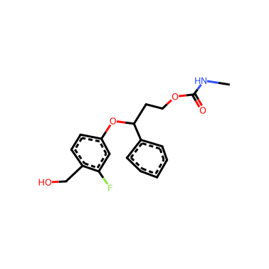 CNC(=O)OCCC(Oc1ccc(CO)c(F)c1)c1ccccc1